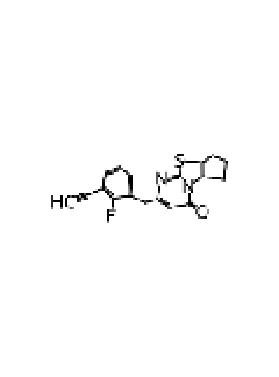 C#Cc1cccc(Cc2cc(=O)n3c4c(sc3n2)CCC4)c1F